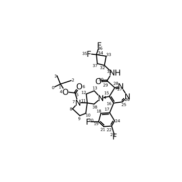 CC(C)(C)OC(=O)N1CCCC12CCN(c1c(-c3cc(F)cc(F)c3)cnnc1C(=O)NC1CC(F)(F)C1)C2